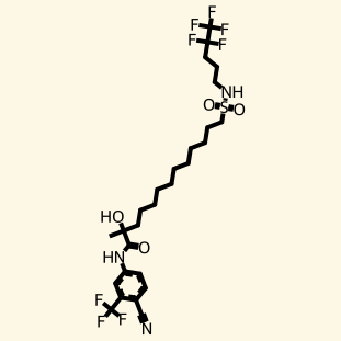 CC(O)(CCCCCCCCCCCS(=O)(=O)NCCCC(F)(F)C(F)(F)F)C(=O)Nc1ccc(C#N)c(C(F)(F)F)c1